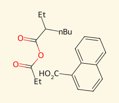 CCCCC(CC)C(=O)OC(=O)CC.O=C(O)c1cccc2ccccc12